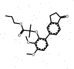 CCCOC(=O)C(C)(C)Oc1c(-c2ccc3c(c2)CCC3=O)ccc(OC)c1OC